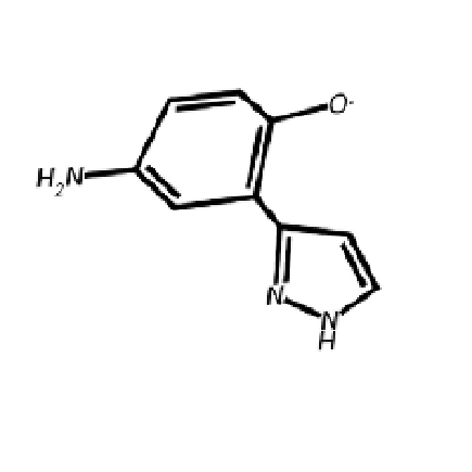 Nc1ccc([O])c(-c2cc[nH]n2)c1